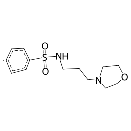 O=S(=O)(NCCCN1CCOCC1)c1cc[c]cc1